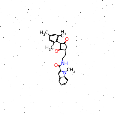 Cc1cc(C)c(C2C(=O)CC(CCNC(=O)c3cc4ccccc4n3C)C2=O)c(C)c1